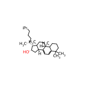 CC(C)CCC[C@@H](C)[C@H]1[C@@H](O)C[C@H]2C3=CC=C4C(C)(C)CCC[C@]4(C)[C@H]3CC[C@]12C